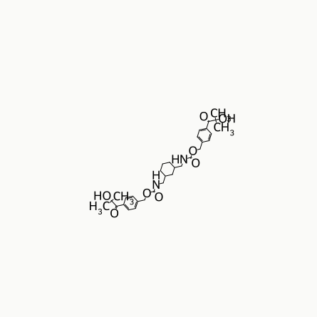 CC(C)(O)C(=O)c1ccc(COC(=O)NCC2CCCC(CNC(=O)OCc3ccc(C(=O)C(C)(C)O)cc3)C2)cc1